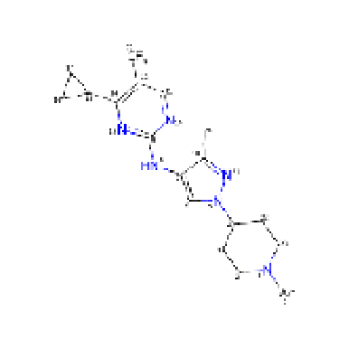 CC(=O)N1CCC(n2cc(Nc3ncc(C(F)(F)F)c(C4CC4)n3)c(C)n2)CC1